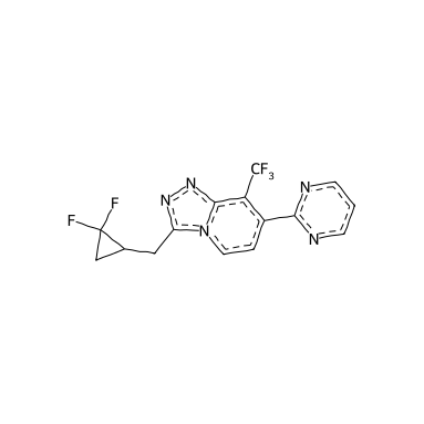 FC(F)(F)c1c(-c2ncccn2)ccn2c(CC3CC3(F)F)nnc12